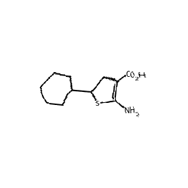 NC1=C(C(=O)O)CC(C2CCCCC2)S1